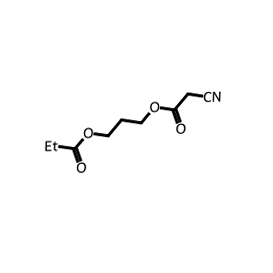 CCC(=O)OCCCOC(=O)CC#N